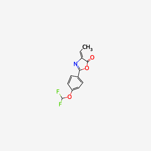 C/C=C1/N=C(c2ccc(OC(F)F)cc2)OC1=O